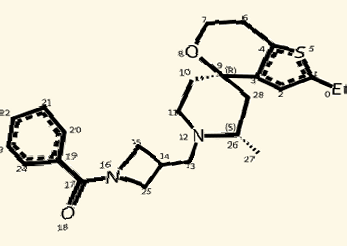 CCc1cc2c(s1)CCO[C@@]21CCN(CC2CN(C(=O)c3ccccc3)C2)[C@@H](C)C1